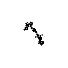 Cc1nn(-c2ccc(C(N)=O)c(NCCOCCC3CCN(C(=O)C[C@@H]4N=C(c5ccc(Cl)cc5)c5c(sc(C)c5C)-n5c(C)nnc54)CC3)c2)c2c1C(=O)CC(C)(C)C2